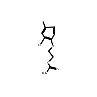 Cc1ccc(OCCOC(N)=O)c(Cl)c1